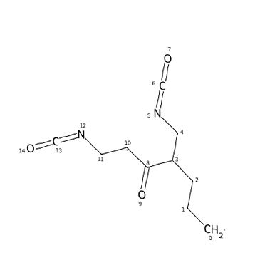 [CH2]CCC(CN=C=O)C(=O)[CH]CN=C=O